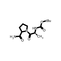 C[C@H](NC(=O)OC(C)(C)C)C(=O)N1CCCC1C(N)=O